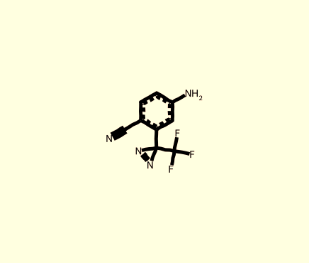 N#Cc1ccc(N)cc1C1(C(F)(F)F)N=N1